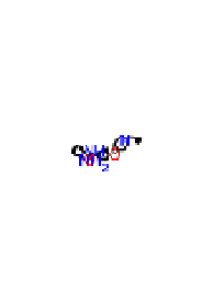 Nc1ccccc1NC(=O)c1ccc(O[C@H]2CCCN(CC3CC3)CC2)cc1